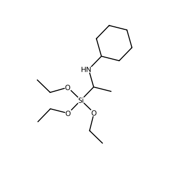 CCO[Si](OCC)(OCC)C(C)NC1CCCCC1